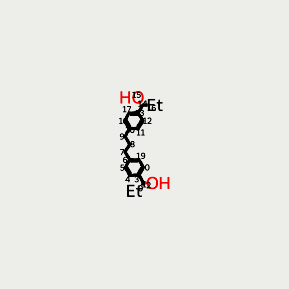 CCC(O)c1ccc(CCCc2ccc(C(O)CC)cc2)cc1